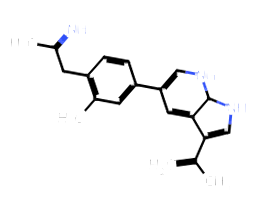 C=C(C)C1=CNC2NC=C(c3ccc(CC(C)=N)c(C)c3)C=C12